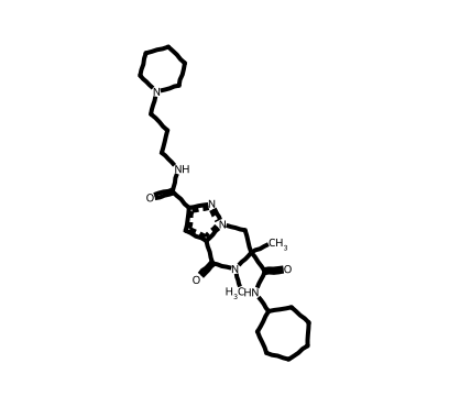 CN1C(=O)c2cc(C(=O)NCCCN3CCCCC3)nn2CC1(C)C(=O)NC1CCCCCC1